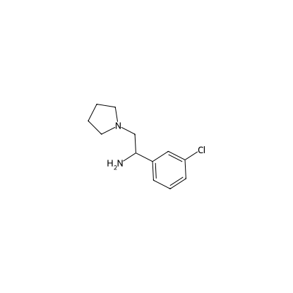 NC(CN1CCCC1)c1cccc(Cl)c1